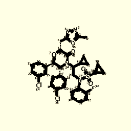 Cc1nnc(C[C@H]2O[C@H](c3cccc(Cl)c3)[C@@H](c3ccc(Cl)cc3)N(C(CN(c3ccccc3F)S(=O)(=O)C3CC3)C3CC3)C2=O)o1